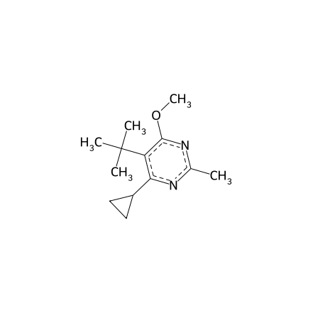 COc1nc(C)nc(C2CC2)c1C(C)(C)C